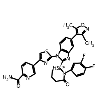 Cc1noc(C)c1-c1ccc2c(c1)nc([Si@@H]1CCCC(=O)N1c1ccc(F)c(F)c1)n2-c1nc(-c2ccc(C(N)=O)nc2)cs1